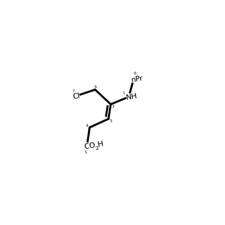 CCCNC(=CCC(=O)O)CCl